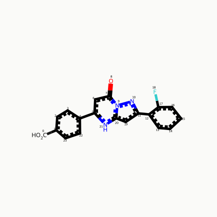 O=C(O)c1ccc(-c2cc(=O)n3nc(-c4ccccc4F)cc3[nH]2)cc1